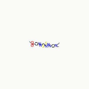 CCCN(CC)c1ccc(N=Nc2nc3sc(N=Nc4ccc(C(=O)OCC)cc4)cc3s2)cc1